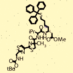 COC(=O)C[C@@H](/C=C/CCSC(c1ccccc1)(c1ccccc1)c1ccccc1)NC(=O)C(NC(=O)[C@]1(C)CSC(c2csc(CNC(=O)OC(C)(C)C)n2)=N1)C(C)C